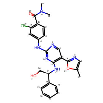 Cc1cnc(-c2cnc(Nc3ccc(C(=O)N(C)C)c(Cl)c3)nc2N[C@H](CO)c2ccccc2)o1